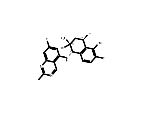 CC[C@@H]1C[C@](O)(C(F)(F)F)[C@@H](Nc2cc(F)cc3nc(C)ncc23)c2ccc(F)c(O)c21